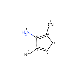 N#CC1=CCC(C#N)=C1N